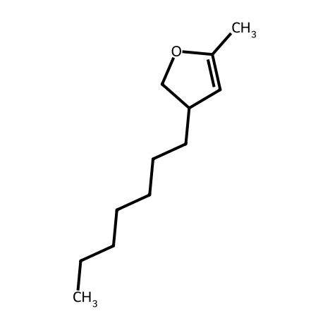 CCCCCCCC1C=C(C)OC1